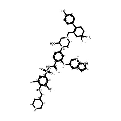 CC1CN(CC2=C(c3ccc(Cl)cc3)CCC(C)(C)C2)CCN1c1ccc(C(=O)NS(=O)(=O)c2cc(F)c(NCC3CCOCC3)c([N+](=O)[O-])c2)c(Oc2cnc3[nH]ccc3c2)c1